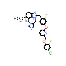 CCn1cncc1Cn1c(Cc2ccc(Oc3cccc(COc4ccc(Cl)cc4F)n3)cc2F)nc2ccc(C(=O)O)cc21